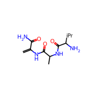 C=C(NC(=O)C(C)NC(=O)C(N)C(C)C)C(N)=O